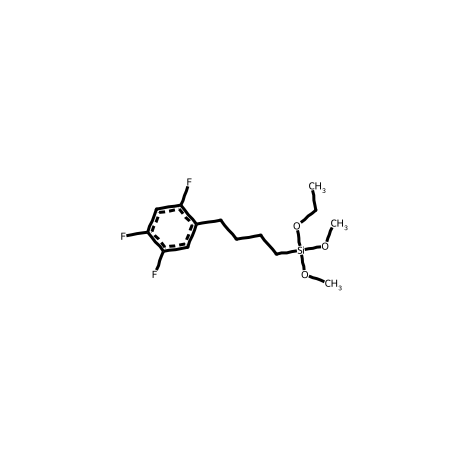 CCO[Si](CCCCc1cc(F)c(F)cc1F)(OC)OC